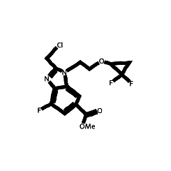 COC(=O)c1cc(F)c2nc(CCl)n(CCOC3CC3(F)F)c2c1